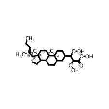 CCC[C@@H](C)[C@H]1CCC2C3CCC4CC(C(OO)C(OO)C(=O)OO)CC[C@]4(C)C3CC[C@@]21C